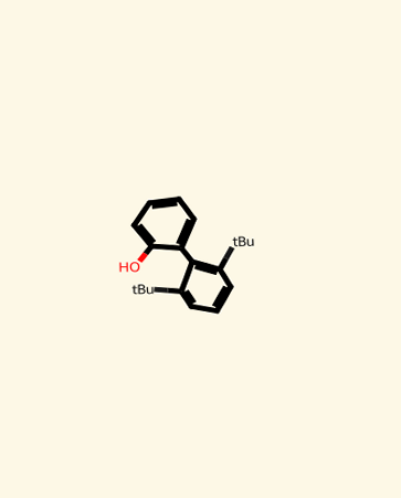 CC(C)(C)c1cccc(C(C)(C)C)c1-c1ccccc1O